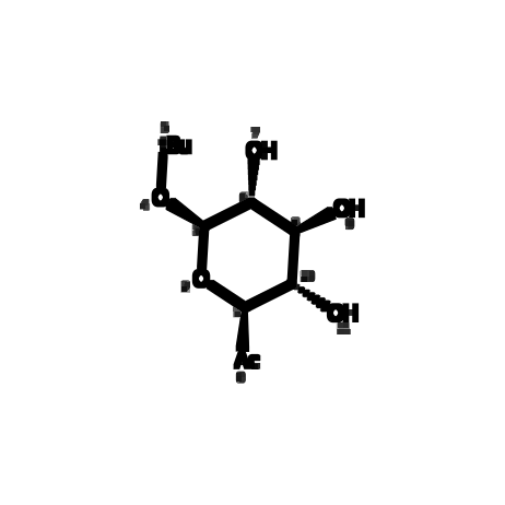 CC(=O)[C@H]1O[C@@H](OC(C)(C)C)[C@H](O)[C@@H](O)[C@@H]1O